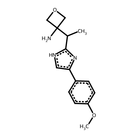 COc1ccc(-c2c[nH]c(C(C)C3(N)COC3)n2)cc1